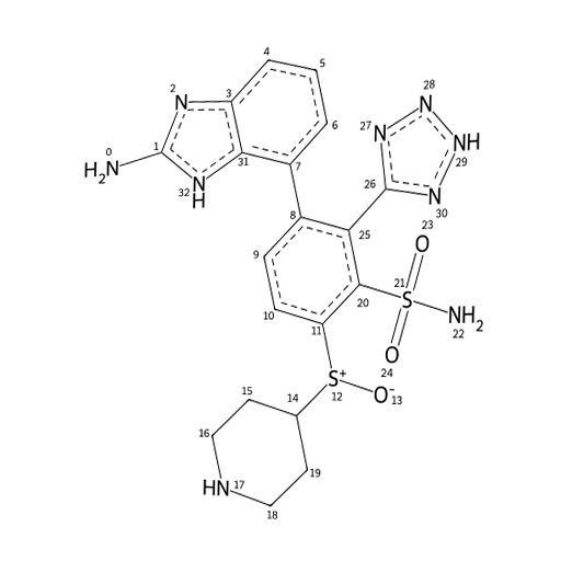 Nc1nc2cccc(-c3ccc([S+]([O-])C4CCNCC4)c(S(N)(=O)=O)c3-c3nn[nH]n3)c2[nH]1